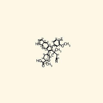 COc1cc(-n2c(C(C)(C)CC#N)c(C3CC[C@](C)(C(=O)O)OC3)c3nc4[nH]ncc4cc32)ccc1F